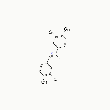 C/C(=C\c1ccc(O)c(Cl)c1)c1ccc(O)c(Cl)c1